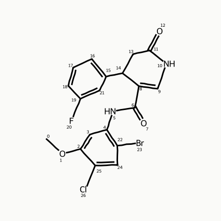 COc1cc(NC(=O)C2=CNC(=O)CC2c2cccc(F)c2)c(Br)cc1Cl